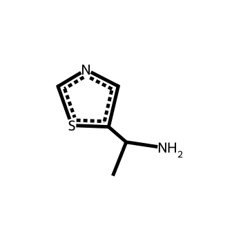 CC(N)c1cncs1